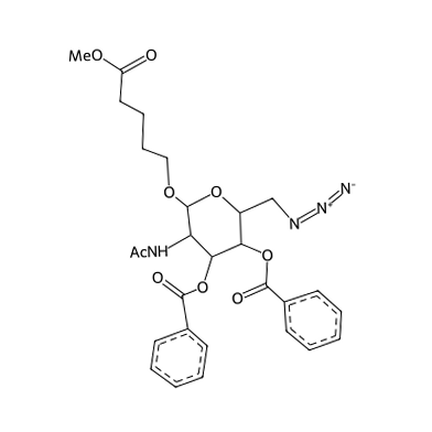 COC(=O)CCCCOC1OC(CN=[N+]=[N-])C(OC(=O)c2ccccc2)C(OC(=O)c2ccccc2)C1NC(C)=O